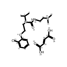 CC(C)N(CCOc1ccccc1Cl)C(=O)NCCN(C)C.O=C(O)C=CC(=O)O